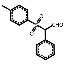 Cc1ccc(S(=O)(=O)C(C=O)c2ccccc2)cc1